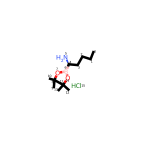 CCCC[C@H](N)B1OC(C)(C)C(C)(C)O1.Cl